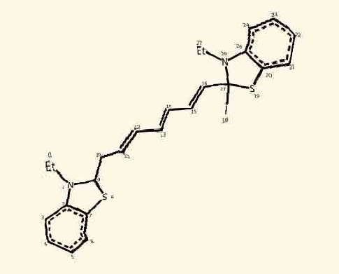 CCN1c2ccccc2SC1CC=CC=CC=CC1(I)Sc2ccccc2N1CC